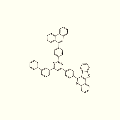 c1ccc(-c2cccc(-c3cc(-c4ccc(-c5nc6ccccc6c6sc7ccccc7c56)cc4)nc(-c4ccc(-c5cc6ccccc6c6ccccc56)cc4)n3)c2)cc1